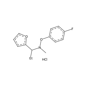 CCC(c1ccco1)N(C)Oc1ccc(F)cc1.Cl